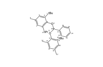 CCCc1cc(C)cc(C(C)(C)C)c1OP(Oc1c(C)cc(C)cc1C(C)(C)C)c1ccccc1